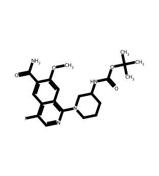 COc1cc2c(N3CCCC(NC(=O)OC(C)(C)C)C3)ncc(I)c2cc1C(N)=O